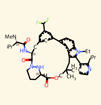 CCn1c(-c2cccnc2C(C)C)c2c3cc(ccc31)-c1cc(cc(C(F)F)c1)C[C@H](NC(=O)[C@@H](NC)C(C)C)C(=O)N1CCC[C@H](N1)C(=O)OCC(C)(C)C2